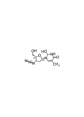 CC1=CN([C@H]2CC(N=[N+]=[N-])[C@@H](CO)O2)C(O)NC1=O